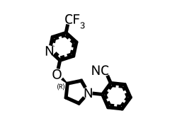 N#Cc1ccccc1N1CC[C@@H](Oc2ccc(C(F)(F)F)cn2)C1